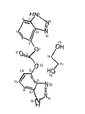 O=C(Oc1cccc2[nH]nnc12)Oc1cccc2[nH]nnc12.OCCO